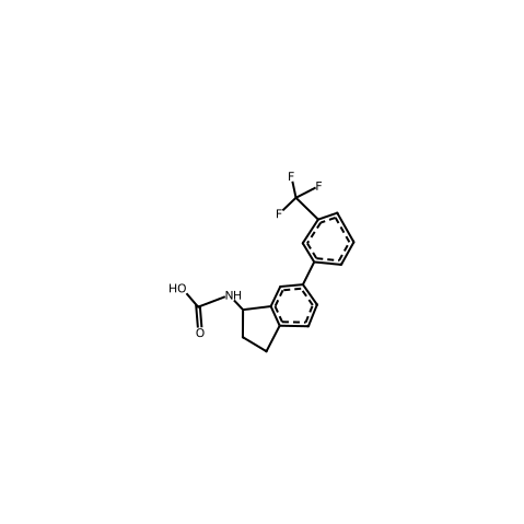 O=C(O)NC1CCc2ccc(-c3cccc(C(F)(F)F)c3)cc21